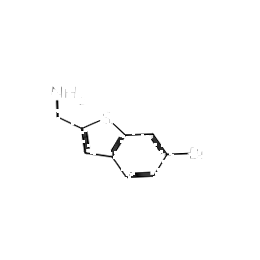 NCc1cc2ccc(Br)cc2s1